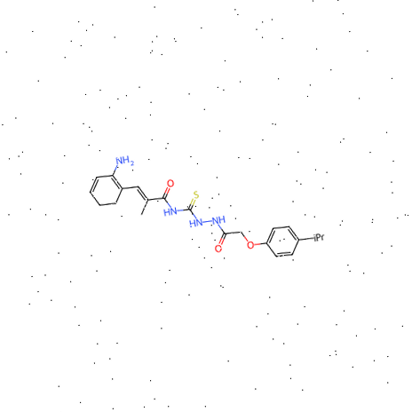 C/C(=C\C1=C(N)C=CCC1)C(=O)NC(=S)NNC(=O)COc1ccc(C(C)C)cc1